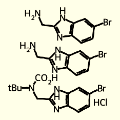 CC(C)(C)N(Cc1nc2ccc(Br)cc2[nH]1)C(=O)O.Cl.NCc1nc2ccc(Br)cc2[nH]1.NCc1nc2ccc(Br)cc2[nH]1